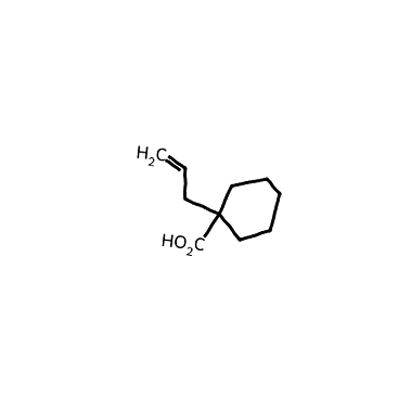 C=CCC1(C(=O)O)CCCCC1